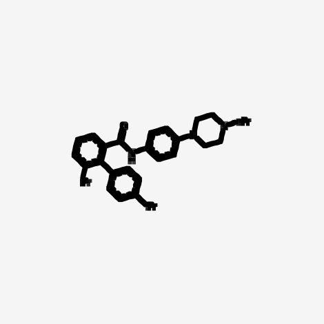 CCCN1CCN(c2ccc(NC(=O)c3cccc(C(C)C)c3-c3ccc(C(C)C)cc3)cc2)CC1